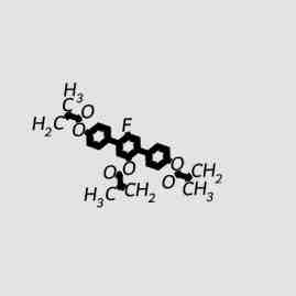 C=C(C)C(=O)Oc1ccc(-c2cc(OC(=O)C(=C)C)c(-c3ccc(OC(=O)C(=C)C)cc3)cc2F)cc1